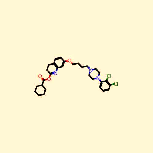 O=C(OC1=Nc2cc(OCCCCN3CCN(c4cccc(Cl)c4Cl)CC3)ccc2CC1)C1CCCCC1